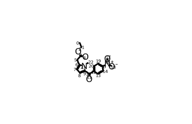 CCOC(=O)Cc1ccc(C(=O)c2ccc([N+](=O)[O-])cc2)n1C